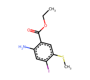 CCOC(=O)c1cc(SC)c(I)cc1N